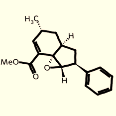 COC(=O)C1=C[C@H](C)C[C@H]2C[C@@H](c3ccccc3)[C@@H]3O[C@]123